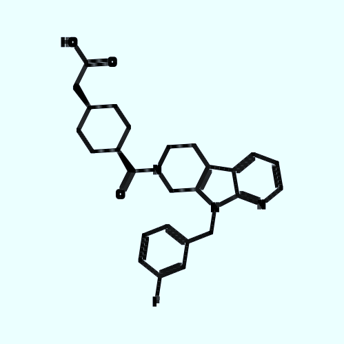 O=C(O)C[C@H]1CC[C@@H](C(=O)N2CCc3c(n(Cc4cccc(F)c4)c4ncccc34)C2)CC1